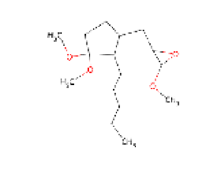 CCCCCC1C(CC2OC2OC)CCC1(OC)OC